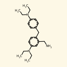 CCN(CC)c1ccc(Cc2ccc(N(CC)CC)cc2CN)cc1